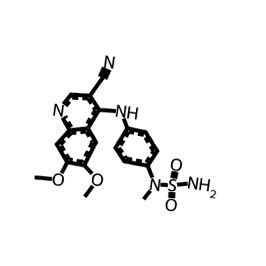 COc1cc2ncc(C#N)c(Nc3ccc(N(C)S(N)(=O)=O)cc3)c2cc1OC